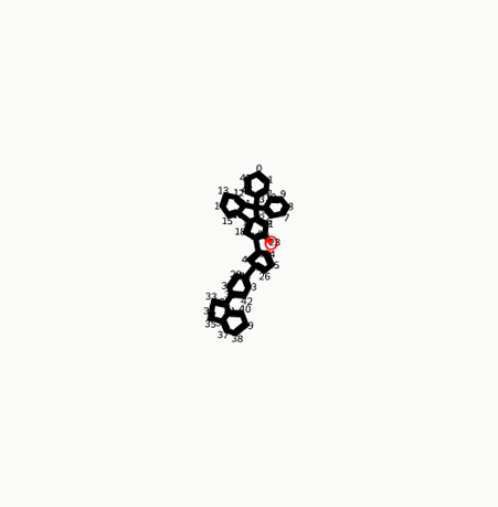 c1ccc(C2(c3ccccc3)c3ccccc3-c3cc4c(cc32)oc2ccc(-c3ccc(-c5cccc6ccccc56)cc3)cc24)cc1